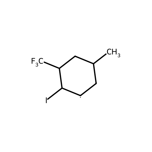 CC1C[CH]C(I)C(C(F)(F)F)C1